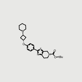 CC(C)(C)OC(=O)N1CCc2nc(-c3ccc(O[C@H]4C[C@H](N5CCCCC5)C4)cc3)sc2C1